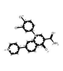 NC(=O)c1cn(-c2ccc(Cl)c(Cl)c2)c2cc(-c3ccncc3)ccc2c1=O